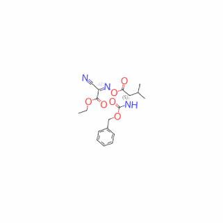 CCOC(=O)/C(C#N)=N\OC(=O)[C@@H](NC(=O)OCc1ccccc1)C(C)C